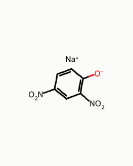 O=[N+]([O-])c1ccc([O-])c([N+](=O)[O-])c1.[Na+]